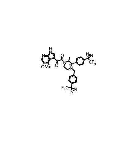 COc1ccnc2[nH]cc(C(=O)C(=O)N3CCN(Cc4ccc(C5(C(F)(F)F)N=N5)cc4)[C@H](c4ccc(C5(C(F)(F)F)N=N5)cc4)C3C)c12